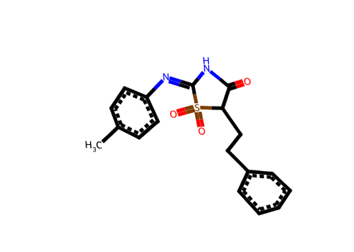 Cc1ccc(N=C2NC(=O)C(CCc3ccccc3)S2(=O)=O)cc1